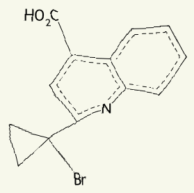 O=C(O)c1cc(C2(Br)CC2)nc2ccccc12